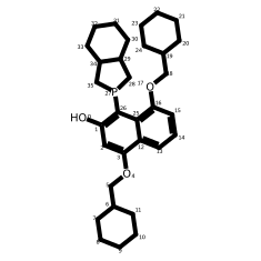 Oc1cc(OCC2CCCCC2)c2cccc(OCC3CCCCC3)c2c1P1CC2CCCCC2C1